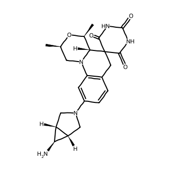 C[C@@H]1CN2c3cc(N4C[C@@H]5[C@@H](N)[C@@H]5C4)ccc3CC3(C(=O)NC(=O)NC3=O)[C@H]2[C@H](C)O1